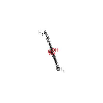 CCCCCCCCCCCCCCCCC=C(O)C(CCCCCCCCCCCCCCCC)C(=O)O